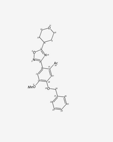 COc1cc(-c2noc(C3CCOCC3)n2)c(C(C)=O)cc1OCc1ccccc1